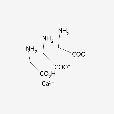 NCC(=O)O.NCC(=O)[O-].NCC(=O)[O-].[Ca+2]